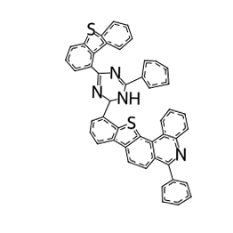 c1ccc(C2=NC(c3cccc4sc5ccccc5c34)=NC(c3cccc4c3sc3c4ccc4c(-c5ccccc5)nc5ccccc5c43)N2)cc1